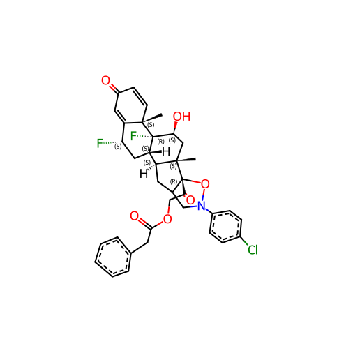 C[C@]12C=CC(=O)C=C1[C@@H](F)C[C@H]1[C@@H]3CC4CN(c5ccc(Cl)cc5)O[C@@]4(C(=O)COC(=O)Cc4ccccc4)[C@@]3(C)C[C@H](O)[C@@]12F